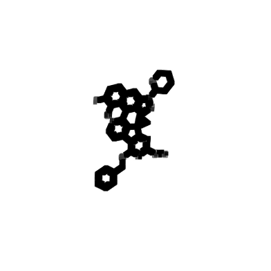 CSc1nc(OCc2ccccc2)c2c(n1)C1(CC1)c1c-2ccnc1-c1c2cnn(C3CCCCO3)c2cc2ccc(F)c(Cl)c12